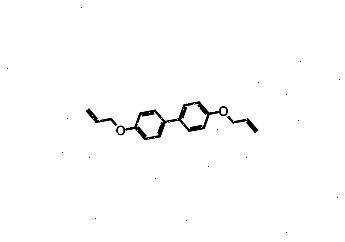 C=CCOc1ccc(-c2ccc(OCC=C)cc2)cc1